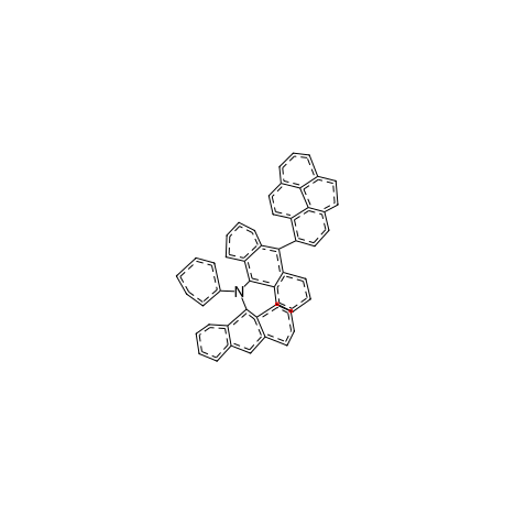 c1ccc(N(c2c3ccccc3cc3ccccc23)c2c3ccccc3c(-c3ccc4ccc5cccc6ccc3c4c56)c3ccccc23)cc1